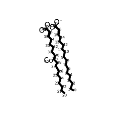 CCCCCCCCCCCCCCCC=CC(=O)[O-].CCCCCCCCCCCCCCCC=CC(=O)[O-].[Co+2]